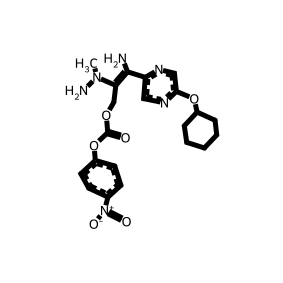 CN(N)/C(COC(=O)Oc1ccc([N+](=O)[O-])cc1)=C(\N)c1cnc(OC2CCCCC2)cn1